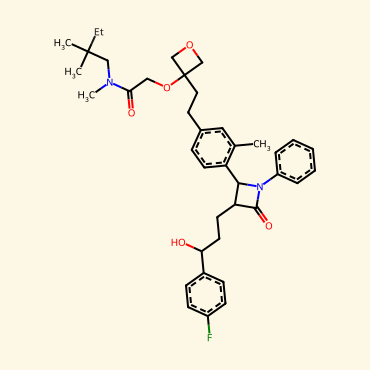 CCC(C)(C)CN(C)C(=O)COC1(CCc2ccc(C3C(CCC(O)c4ccc(F)cc4)C(=O)N3c3ccccc3)c(C)c2)COC1